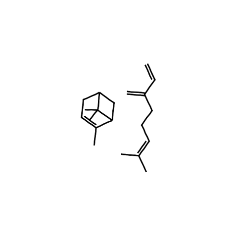 C=CC(=C)CCC=C(C)C.CC1=CCC2CC1C2(C)C